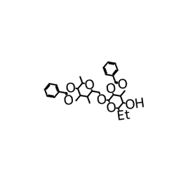 CCC1OC(OCC2OC(C)C(OC(=O)c3ccccc3)C(C)C2C)C(OC(=O)c2ccccc2)C(C)C1O